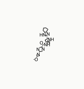 COC1CN(c2cnc(C(=O)Nc3cc(-c4nc5ccccc5[nH]4)[nH]n3)cn2)C1